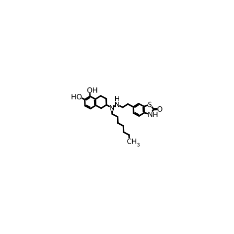 CCCCCCCN(NCCc1ccc2[nH]c(=O)sc2c1)C1CCc2c(ccc(O)c2O)C1